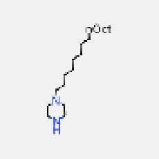 CCCCCCCCCCCCCCCCN1CCNCC1